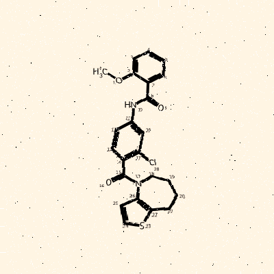 COc1ccccc1C(=O)Nc1ccc(C(=O)N2CCCCc3sccc32)c(Cl)c1